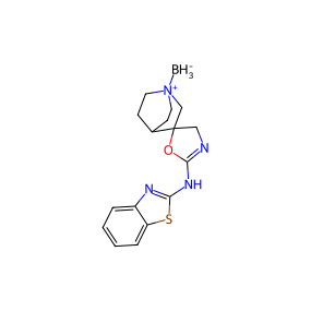 [BH3-][N+]12CCC(CC1)C1(CN=C(Nc3nc4ccccc4s3)O1)C2